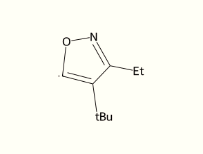 CCc1no[c]c1C(C)(C)C